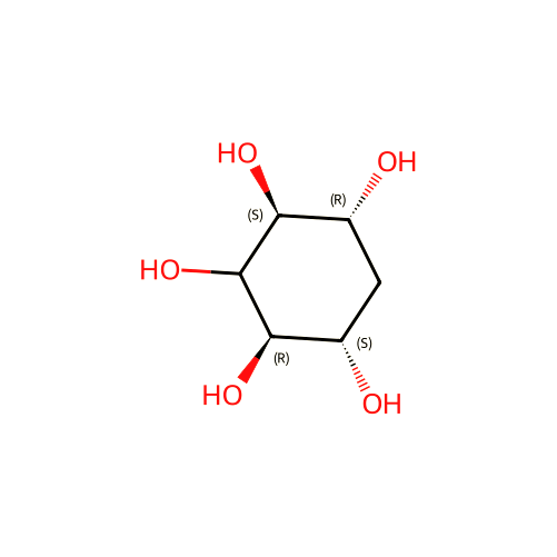 OC1[C@@H](O)[C@H](O)C[C@H](O)[C@H]1O